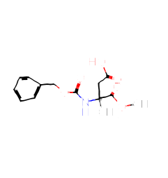 COC(=O)[C@@](C)(CC(=O)O)NC(=O)OCc1ccccc1